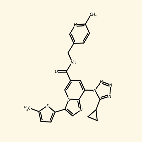 Cc1ccc(CNC(=O)c2cc(-n3nnnc3C3CC3)c3ncc(-c4ccc(C)s4)n3c2)cn1